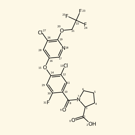 O=C(O)C1CCCN1C(=O)c1cc(Cl)c(Oc2cnc(OCC(F)(F)F)c(Cl)c2)cc1F